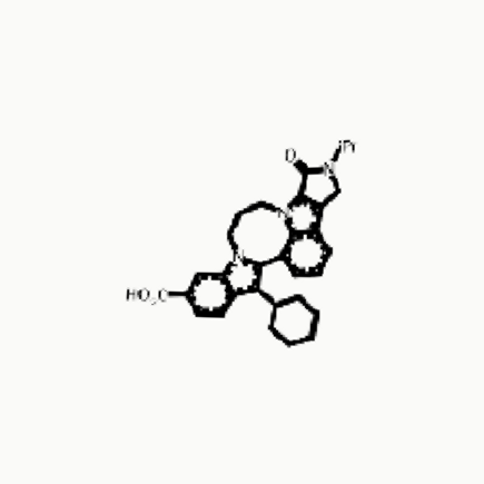 CC(C)N1Cc2c(n3c4c(cccc24)-c2c(C4CCCCC4)c4ccc(C(=O)O)cc4n2CCC3)C1=O